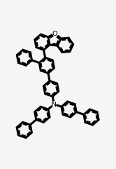 c1ccc(-c2ccc(N(c3ccc(-c4ccccc4)cc3)c3ccc(-c4ccc(-c5cccc6oc7ccccc7c56)c(-c5ccccc5)c4)cc3)cc2)cc1